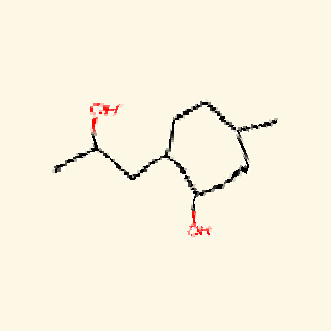 CC(O)CC1CCC(C)CC1O